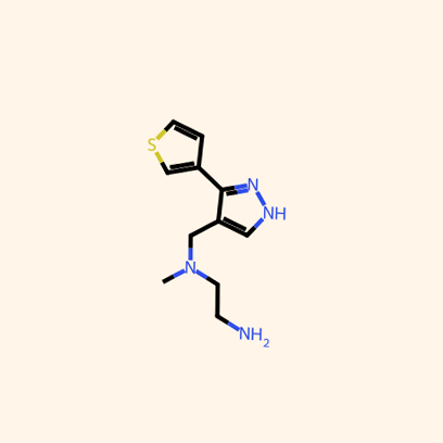 CN(CCN)Cc1c[nH]nc1-c1ccsc1